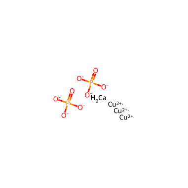 O=P([O-])([O-])[O-].O=P([O-])([O-])[O-].[CaH2].[Cu+2].[Cu+2].[Cu+2]